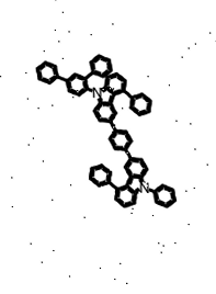 c1ccc(-c2ccc(-n3c4ccc(-c5ccc(-c6ccc7c(c6)c6c(-c8ccccc8)cccc6n7-c6ccccc6)cc5)cc4c4c(-c5ccccc5)cccc43)c(-c3ccccc3)c2)cc1